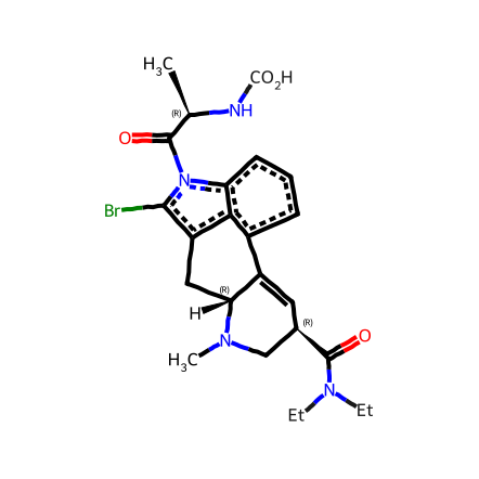 CCN(CC)C(=O)[C@@H]1C=C2c3cccc4c3c(c(Br)n4C(=O)[C@@H](C)NC(=O)O)C[C@H]2N(C)C1